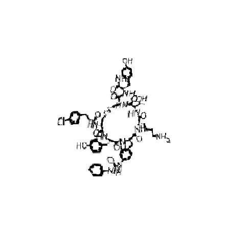 C[C@@H](O)[C@@H]1NC(=O)[C@H](CCCCN)NC(=O)[C@@H](Cc2ccc(NC(=O)Nc3ccccc3)cc2)NC(=O)[C@H](Cc2ccc(O)cc2)NC(=O)[C@H](NC(=O)CCc2ccc(Cl)cc2)CSSC[C@@H](C(=O)N[C@H](Cc2ccc(O)cc2)C(N)=O)NC1=O